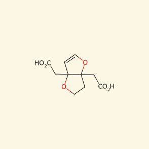 O=C(O)CC12C=COC1(CC(=O)O)CCO2